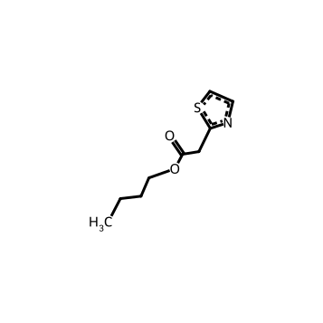 CCCCOC(=O)Cc1nccs1